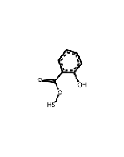 O=C(OS)c1ccccc1O